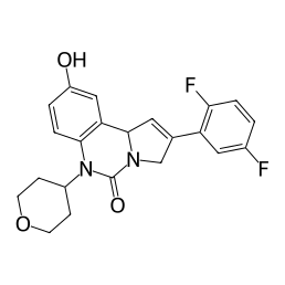 O=C1N2CC(c3cc(F)ccc3F)=CC2c2cc(O)ccc2N1C1CCOCC1